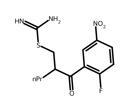 CCCC(CSC(=N)N)C(=O)c1cc([N+](=O)[O-])ccc1F